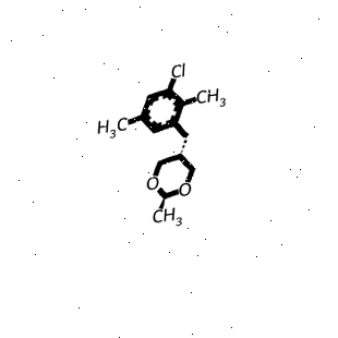 Cc1cc(Cl)c(C)c(C[C@H]2CO[C@H](C)OC2)c1